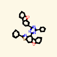 c1ccc(-c2nc(-c3ccc4c(c3)oc3ccccc34)nc(-c3c4nc(-c5ccccc5)sc4cc4oc5ccccc5c34)n2)cc1